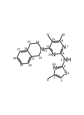 Cc1csc(Nc2nc(C)c(C)c(N3CCc4ccccc4C3)n2)n1